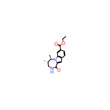 CCOC(=O)c1ccc2cc3n(c2c1)[C@H](C)[C@@H](C)CNC3=O